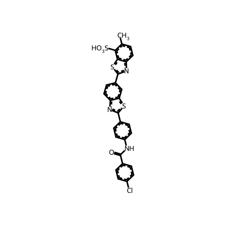 Cc1ccc2nc(-c3ccc4nc(-c5ccc(NC(=O)c6ccc(Cl)cc6)cc5)sc4c3)sc2c1S(=O)(=O)O